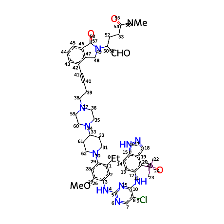 CCc1cc(Nc2ncc(Cl)c(Nc3ccc4[nH]ncc4c3P(C)(C)=O)n2)c(OC)cc1N1CCC(N2CCN(CCC#Cc3cccc4c3CN(C(C=O)CCC(=O)NC)C4=O)CC2)CC1